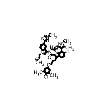 COCCn1cc(N2C[C@@H](C)n3c(c(CCCOc4cc(C)c(Cl)c(C)c4)c4ccc(Cl)c(-c5c(C)nn(C)c5C)c43)C2=O)c2cc(-c3ncn(C)n3)ccc21